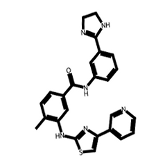 Cc1ccc(C(=O)Nc2cccc(C3=NCCN3)c2)cc1Nc1nc(-c2cccnc2)cs1